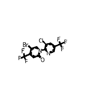 O=c1cc(C(F)(F)F)c(Br)cn1-c1ncc(C(F)(F)F)cc1Cl